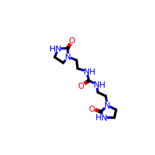 O=C(NCCN1CCNC1=O)NCCN1CCNC1=O